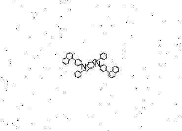 c1ccc(-c2cc3cc4c(cc3n2-c2ccc(-c3cccc5ccccc35)cc2)CC(c2ccccc2)N4c2ccc(-c3cccc4ccccc34)cc2)cc1